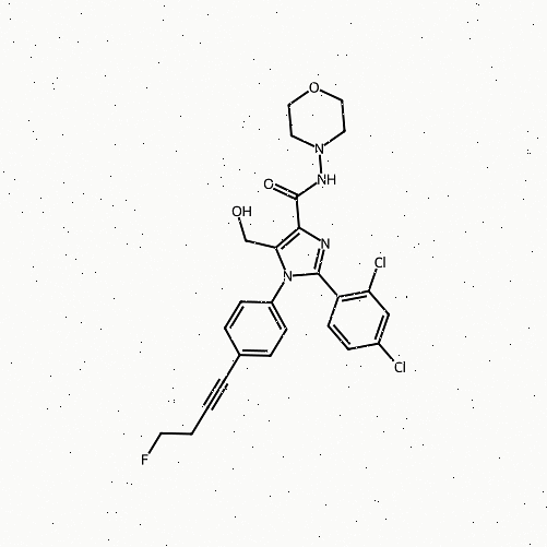 O=C(NN1CCOCC1)c1nc(-c2ccc(Cl)cc2Cl)n(-c2ccc(C#CCCF)cc2)c1CO